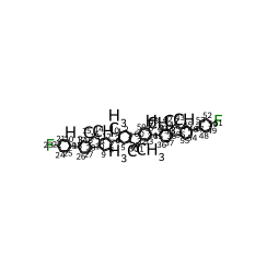 Cc1cc2c(cc1-c1ccc3c(c1)C(C)(C)c1cc(-c4ccc(F)cc4)ccc1-3)C(C)(C)c1cc(-c3ccc4c(c3)C(C)(C)c3cc(-c5ccc(F)cc5)ccc3-4)c(C)cc1-2